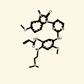 C=CC(=O)Nc1cc(Nc2nccc(-n3c(=O)n(C)c4cc(OC)ccc43)n2)c(OC)cc1N(C)CCN(C)C